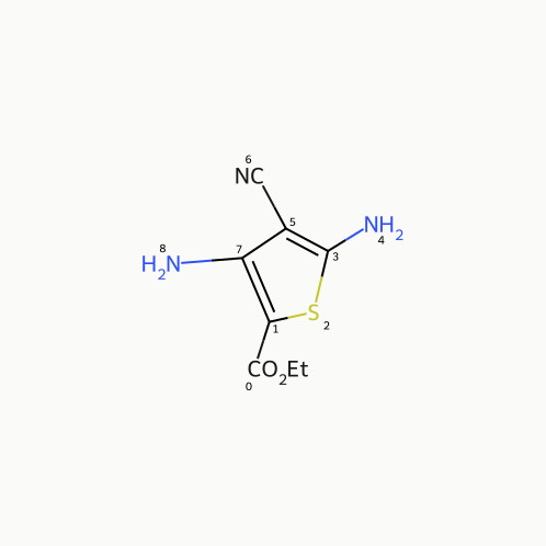 CCOC(=O)c1sc(N)c(C#N)c1N